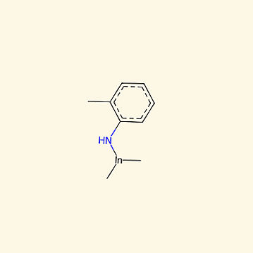 Cc1ccccc1[NH][In]([CH3])[CH3]